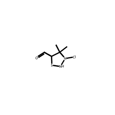 CC1(C)C([C]=O)SNN1Cl